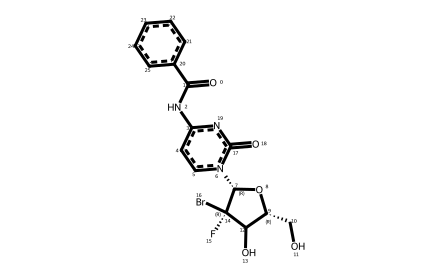 O=C(Nc1ccn([C@@H]2O[C@H](CO)C(O)[C@@]2(F)Br)c(=O)n1)c1ccccc1